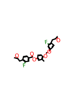 Cc1cc(OC(=O)c2ccc(CC3CO3)c(F)c2)ccc1OCOc1ccc(CC2CO2)c(F)c1